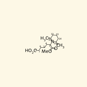 COC(=O)C(CCCCC(=O)O)N1C(C)CCCC1C